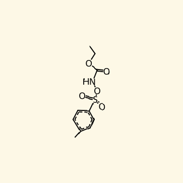 CCOC(=O)NOS(=O)(=O)c1ccc(C)cc1